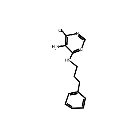 Nc1c(Cl)ncnc1NCCCc1ccccc1